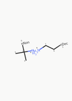 CCCCCCCCCC(C)(C)N.CCCCCCCCCCCCN